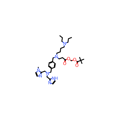 CCCN(CCC)CCCCN(CCC(=O)OCOC(=O)C(C)(C)C)Cc1ccc(CN(Cc2ncc[nH]2)Cc2nccn2C)cc1